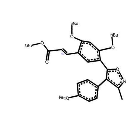 CCCCOc1cc(OCCCC)c(-c2onc(C)c2-c2ccc(OC)cc2)cc1/C=C/C(=O)OC(C)(C)C